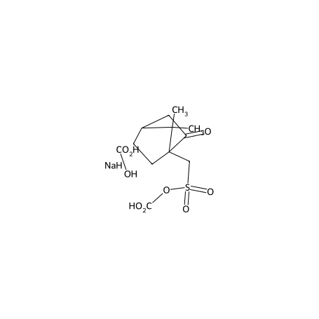 CC1(C)C2CCC1(CS(=O)(=O)OC(=O)O)C(=O)C2.O=C(O)O.[NaH]